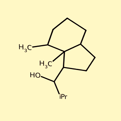 CC(C)C(O)C1CCC2CCCC(C)C21C